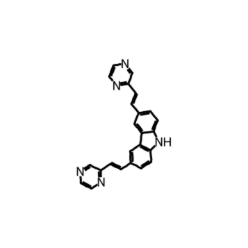 C(=Cc1cnccn1)c1ccc2[nH]c3ccc(C=Cc4cnccn4)cc3c2c1